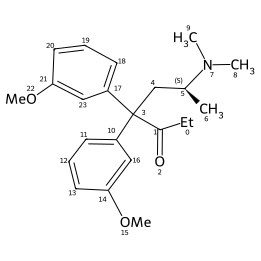 CCC(=O)C(C[C@H](C)N(C)C)(c1cccc(OC)c1)c1cccc(OC)c1